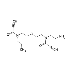 C#CC(=O)N(CCC)CCOCCN(CCN)C(=O)C#C